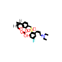 CCN(CC)C/C=C\c1cc(F)ccc1S(=O)(=O)Cc1ccc2c(c1OC(=O)O)OC[C@@H]1C[C@H]21